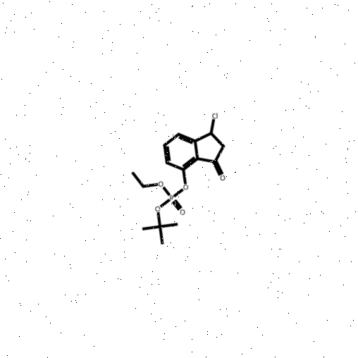 CCOP(=O)(Oc1cccc2c1C(=O)CC2Cl)OC(C)(C)C